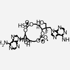 COP1(=O)OC[C@H]2OC(n3cnc4c(N)ncnc43)C(OP(=O)(S)OC[C@H]3OCC(F)(Cn4cnc5c(N)ncnc54)C3O1)C2O